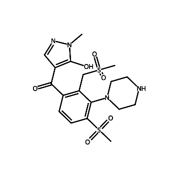 Cn1ncc(C(=O)c2ccc(S(C)(=O)=O)c(N3CCNCC3)c2CS(C)(=O)=O)c1O